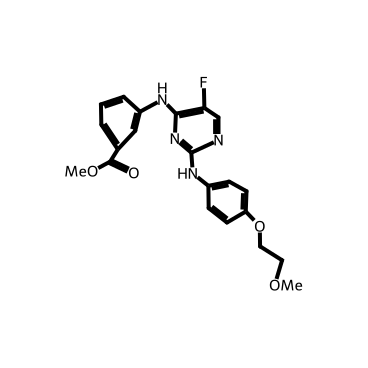 COCCOc1ccc(Nc2ncc(F)c(Nc3cccc(C(=O)OC)c3)n2)cc1